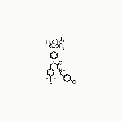 CC(C)(C)OC(=O)c1ccc(N(Cc2ccc(C(F)(F)F)cc2)C(=O)CNCc2ccc(Cl)cc2)cc1